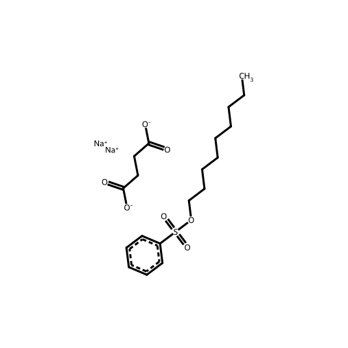 CCCCCCCCCOS(=O)(=O)c1ccccc1.O=C([O-])CCC(=O)[O-].[Na+].[Na+]